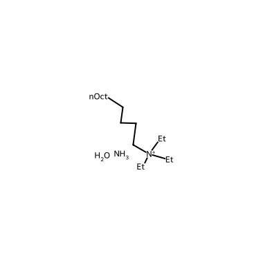 CCCCCCCCCCCC[N+](CC)(CC)CC.N.O